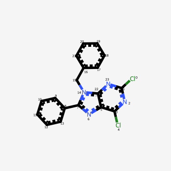 Clc1nc(Cl)c2nc(-c3ccccc3)n(Cc3ccccc3)c2n1